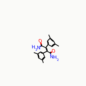 Cc1cc(C)cc(/C(C(N)=O)=C(\C(N)=O)c2cc(C)cc(C)c2)c1